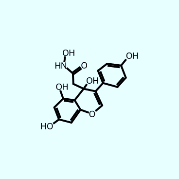 O=C(CC1(O)C(c2ccc(O)cc2)=COc2cc(O)cc(O)c21)NO